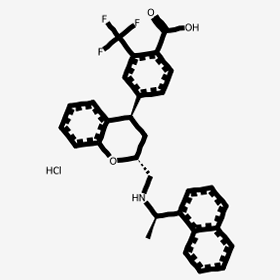 C[C@@H](NC[C@H]1C[C@H](c2ccc(C(=O)O)c(C(F)(F)F)c2)c2ccccc2O1)c1cccc2ccccc12.Cl